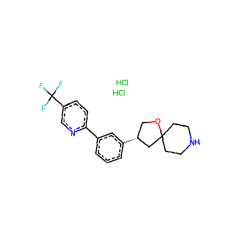 Cl.Cl.FC(F)(F)c1ccc(-c2cccc([C@@H]3COC4(CCNCC4)C3)c2)nc1